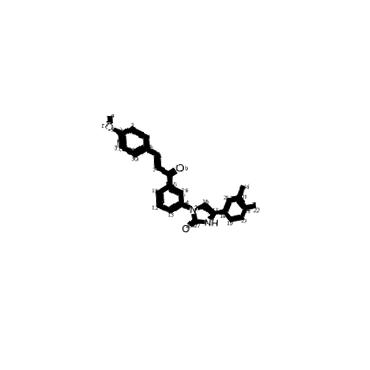 COc1ccc(C=CC(=O)c2cccc(-n3cc(-c4ccc(C)c(C)c4)[nH]c3=O)c2)cc1